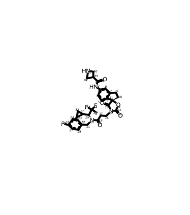 O=C(Nc1ccc2c(c1)CC[C@]21OC(=O)N(CCC(=O)N(Cc2ccc(F)cc2)[C@H](C2CC2)C(F)(F)F)C1=O)C1CNC1